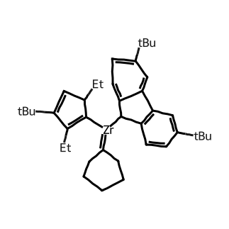 CCC1=[C]([Zr](=[C]2CCCCC2)[CH]2c3ccc(C(C)(C)C)cc3-c3cc(C(C)(C)C)ccc32)C(CC)C=C1C(C)(C)C